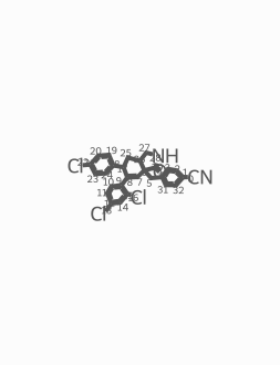 N#Cc1ccc(CC23C=C(c4ccc(Cl)cc4Cl)C(c4ccc(Cl)cc4)CC2CNC3=O)cc1